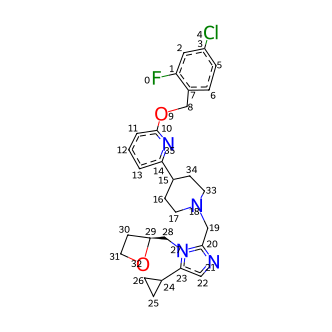 Fc1cc(Cl)ccc1COc1cccc(C2CCN(Cc3ncc(C4CC4)n3C[C@@H]3CCO3)CC2)n1